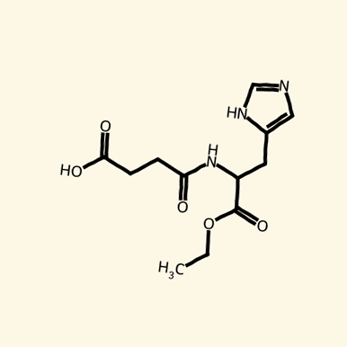 CCOC(=O)C(Cc1cnc[nH]1)NC(=O)CCC(=O)O